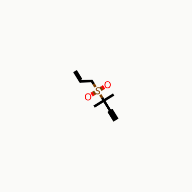 C#CC(C)(C)S(=O)(=O)CC=C